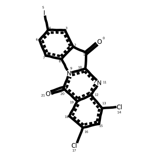 O=C1c2cc(I)ccc2-n2c1nc1c(Cl)cc(Cl)cc1c2=O